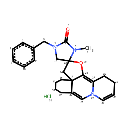 CN1C(=O)N(Cc2ccccc2)CC12CC13CCCCC1=CN1C=CCCC1=C3O2.Cl